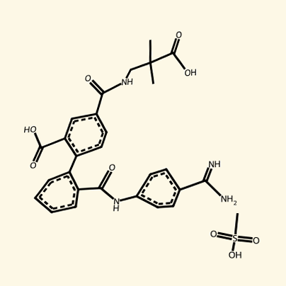 CC(C)(CNC(=O)c1ccc(-c2ccccc2C(=O)Nc2ccc(C(=N)N)cc2)c(C(=O)O)c1)C(=O)O.CS(=O)(=O)O